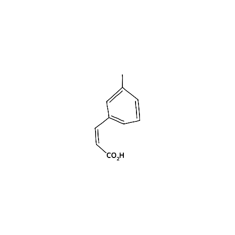 Cc1cccc(/C=C\C(=O)O)c1